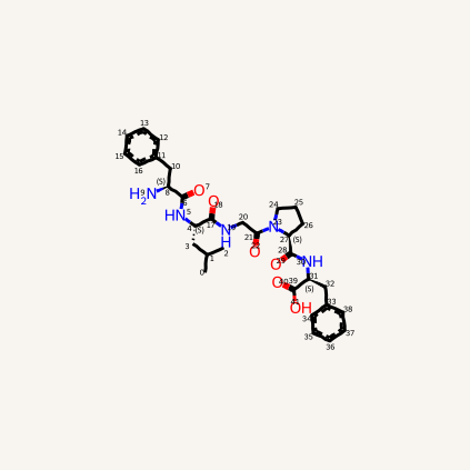 CC(C)C[C@H](NC(=O)[C@@H](N)Cc1ccccc1)C(=O)NCC(=O)N1CCC[C@H]1C(=O)N[C@@H](Cc1ccccc1)C(=O)O